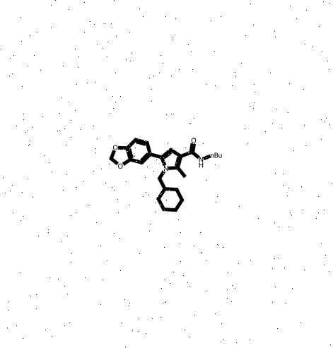 CCCCNC(=O)c1cc(-c2ccc3c(c2)OCO3)n(CC2CCCCC2)c1C